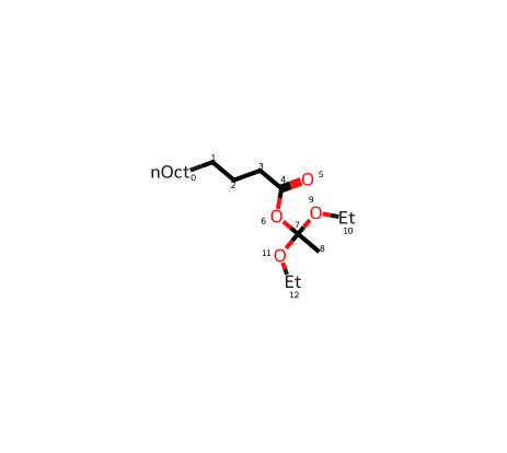 CCCCCCCCCCCC(=O)OC(C)(OCC)OCC